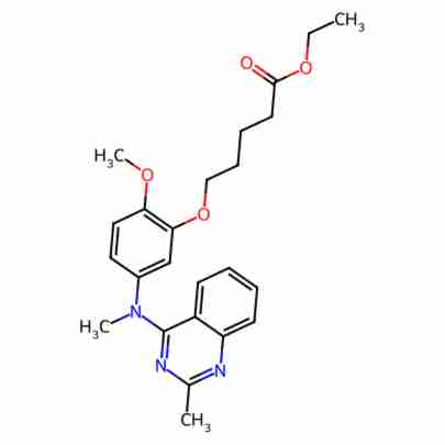 CCOC(=O)CCCCOc1cc(N(C)c2nc(C)nc3ccccc23)ccc1OC